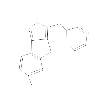 Clc1ccc2c(c1)Cc1c-2n[nH]c1Nc1cccnc1